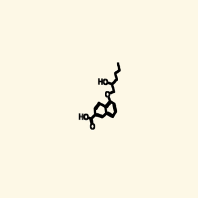 CCCCC(O)COc1cccc2cc(C(=O)O)ccc12